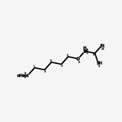 CCCCCCCCCCCCO[SiH2]C(S)CC